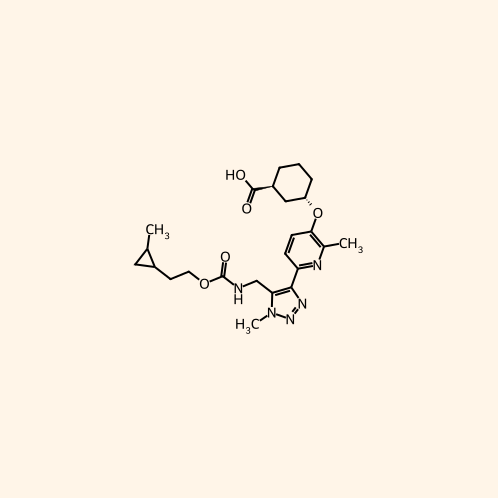 Cc1nc(-c2nnn(C)c2CNC(=O)OCCC2CC2C)ccc1O[C@H]1CCC[C@H](C(=O)O)C1